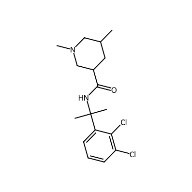 CC1CC(C(=O)NC(C)(C)c2cccc(Cl)c2Cl)CN(C)C1